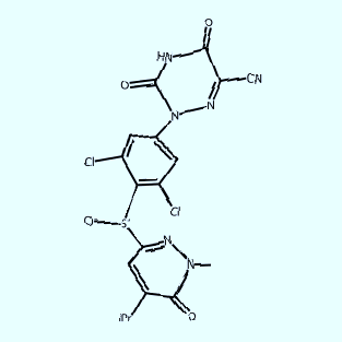 CC(C)c1cc([S+]([O-])c2c(Cl)cc(-n3nc(C#N)c(=O)[nH]c3=O)cc2Cl)nn(C)c1=O